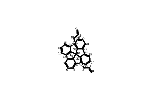 C=CCOc1ccccc1C1(c2ccccc2OCC=C)c2ccccc2-c2ccccc21